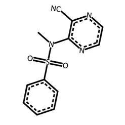 CN(c1nccnc1C#N)S(=O)(=O)c1ccccc1